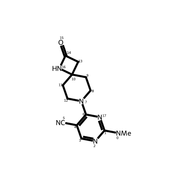 CNc1ncc(C#N)c(N2CCC3(CC2)CC(=O)N3)n1